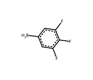 Bc1cc(F)c(F)c(F)c1